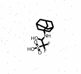 O=S(=O)(O)C(F)(F)C(O)NC12CC3CC(CC(C3)C1)C2